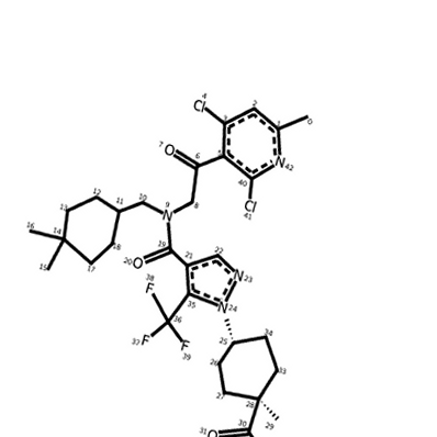 Cc1cc(Cl)c(C(=O)CN(CC2CCC(C)(C)CC2)C(=O)c2cnn([C@H]3CC[C@](C)(C(=O)O)CC3)c2C(F)(F)F)c(Cl)n1